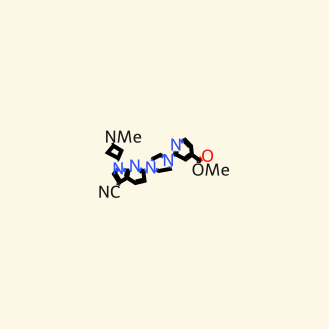 CN[C@H]1C[C@H](n2cc(C#N)c3ccc(N4CCN(c5cc(C(=O)OC)ccn5)CC4)nc32)C1